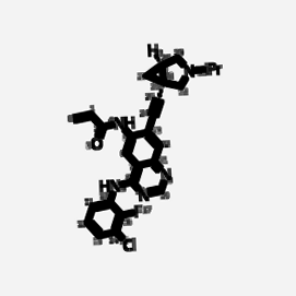 C=CC(=O)Nc1cc2c(Nc3cccc(Cl)c3F)ncnc2cc1C#C[C@]12C[C@H]1CN(C(C)C)C2